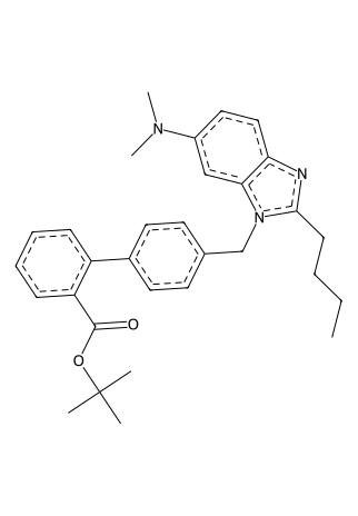 CCCCc1nc2ccc(N(C)C)cc2n1Cc1ccc(-c2ccccc2C(=O)OC(C)(C)C)cc1